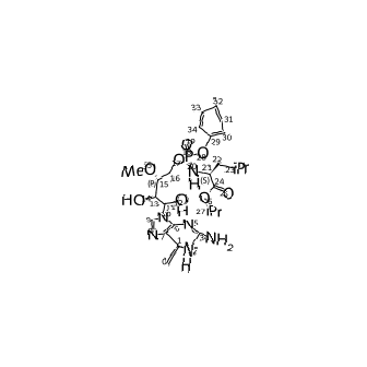 C=C1NC(N)=Nc2c1ncn2C(O)C(O)[C@@H](COP(=O)(N[C@@H](CC(C)C)C(=O)OC(C)C)Oc1ccccc1)OC